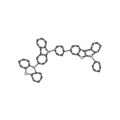 c1ccc(-n2c3ccccc3c3c4ccc(-c5ccc(-n6c7ccccc7c7cc(N8c9ccccc9Oc9ccccc98)ccc76)cc5)cc4oc32)cc1